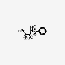 CCC[C@@H](C(=O)NS(=O)(=O)c1ccccc1)C(C)(C)C